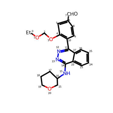 CCOCOc1cc(C=O)ccc1-c1nnc(NC2CCCOC2)c2ccccc12